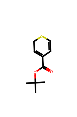 CC(C)(C)OC(=O)C1=CCSC=C1